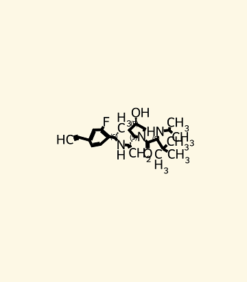 C#Cc1ccc([C@H](C)NC(=C)[C@@H]2C[C@@H](O)CN2C(=O)[C@@H](NC(C)C)C(C)(C)C)c(F)c1